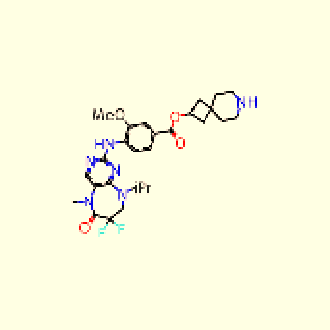 COc1cc(C(=O)OC2CC3(CCNCC3)C2)ccc1Nc1ncc2c(n1)N(C(C)C)CC(F)(F)C(=O)N2C